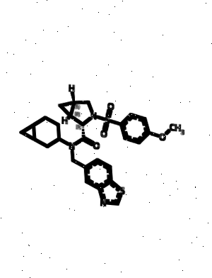 COc1ccc(S(=O)(=O)N2C[C@H]3C[C@H]3[C@H]2C(=O)N(Cc2ccc3scnc3c2)C2CCC3CC3C2)cc1